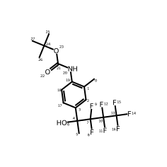 Cc1cc(C(C)(O)C(F)(F)C(F)(F)C(F)(F)F)ccc1NC(=O)OC(C)(C)C